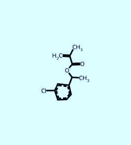 C=C(C)C(=O)OC(C)c1cccc(Cl)c1